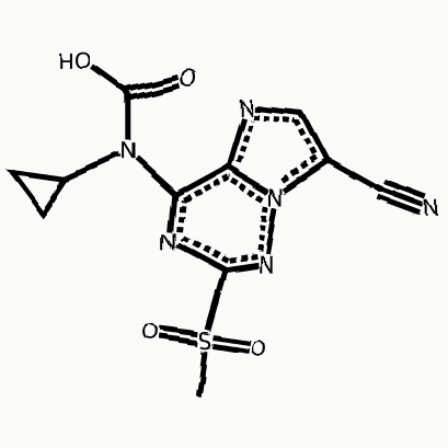 CS(=O)(=O)c1nc(N(C(=O)O)C2CC2)c2ncc(C#N)n2n1